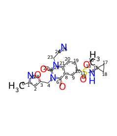 Cc1cc(Cn2c(=O)c3cc(S(=O)(=O)NC4(C)CC4)ccc3n(CC#N)c2=O)on1